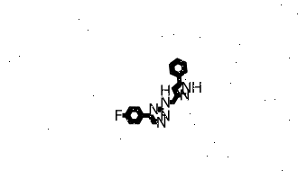 Fc1ccc(-c2cnnc(NCc3cc(-c4ccccc4)[nH]n3)n2)cc1